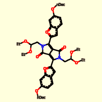 CCCCCCCCCCOc1ccc2cc(C3=C4C(=O)N(CC(OCC)OCC)C(c5cc6ccc(OCCCCCCCCCC)cc6o5)=C4C(=O)N3CC(OCC)OCC)oc2c1